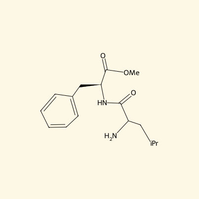 COC(=O)[C@H](Cc1ccccc1)NC(=O)C(N)CC(C)C